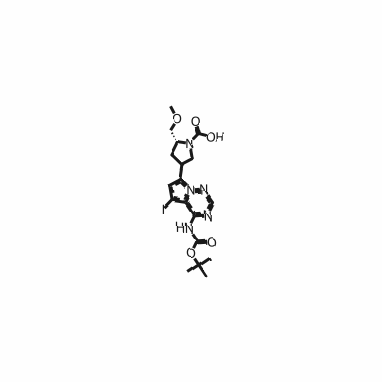 COC[C@H]1CC(c2cc(I)c3c(NC(=O)OC(C)(C)C)ncnn23)CN1C(=O)O